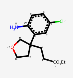 CCOC(=O)CCC1(c2cc(Cl)ccc2N)CCOC1